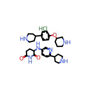 Cl.O=C1CCC(Nc2ccc(C3CCNCC3)nc2)C(=O)N1.c1cc(C2CCNCC2)ccc1OC1CCCNC1